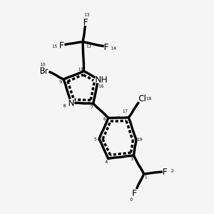 FC(F)c1ccc(-c2nc(Br)c(C(F)(F)F)[nH]2)c(Cl)c1